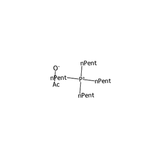 CC(=O)[O-].CCCCC[P+](CCCCC)(CCCCC)CCCCC